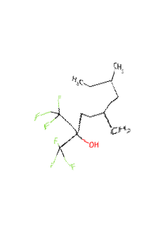 CC(C)CC(C)CC(O)(C(F)(F)F)C(F)(F)F